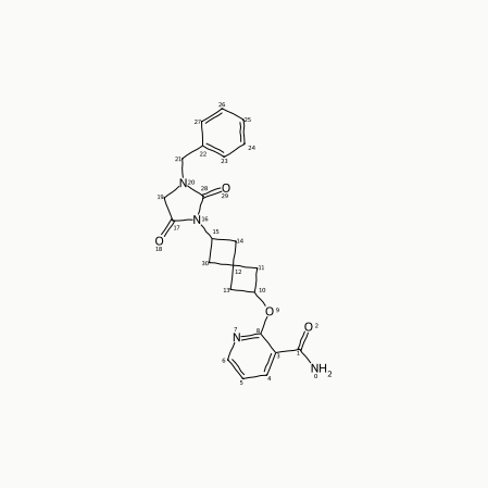 NC(=O)c1cccnc1OC1CC2(C1)CC(N1C(=O)CN(Cc3ccccc3)C1=O)C2